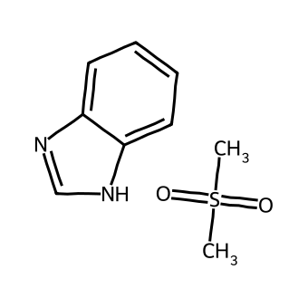 CS(C)(=O)=O.c1ccc2[nH]cnc2c1